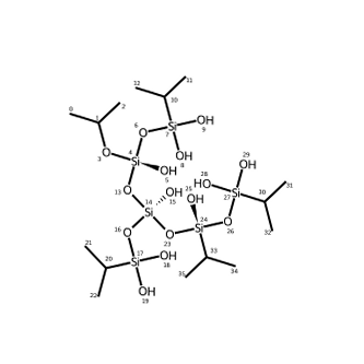 CC(C)O[Si@](O)(O[Si](O)(O)C(C)C)O[Si@](O)(O[Si](O)(O)C(C)C)O[Si@](O)(O[Si](O)(O)C(C)C)C(C)C